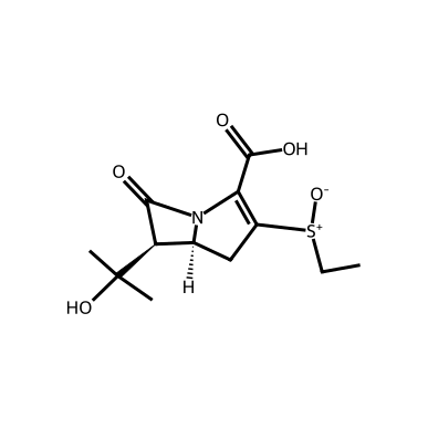 CC[S+]([O-])C1=C(C(=O)O)N2C(=O)[C@H](C(C)(C)O)[C@@H]2C1